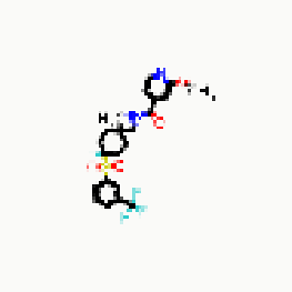 COc1cc(C(=O)NCC2(C)CCC(F)(S(=O)(=O)c3cccc(C(F)(F)F)c3)CC2)ccn1